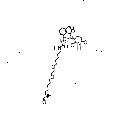 CN(C(=O)c1c(C=O)cccc1OCC(=O)NCCCCCOCCOCCCCCNC=O)C1CCC(=O)NC1=O